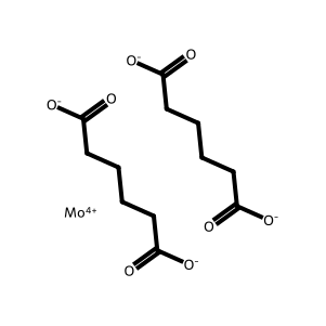 O=C([O-])CCCCC(=O)[O-].O=C([O-])CCCCC(=O)[O-].[Mo+4]